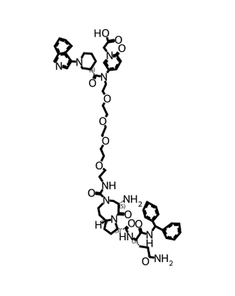 NC(=O)CC[C@H](NC(=O)[C@@H]1CC[C@@H]2CCN(C(=O)NCCOCCOCCOCCOCCN(C(=O)[C@H]3CCCN(c4cncc5ccccc45)C3)c3ccc(=O)n(CC(=O)O)c3)C[C@H](N)C(=O)N21)C(=O)NC(c1ccccc1)c1ccccc1